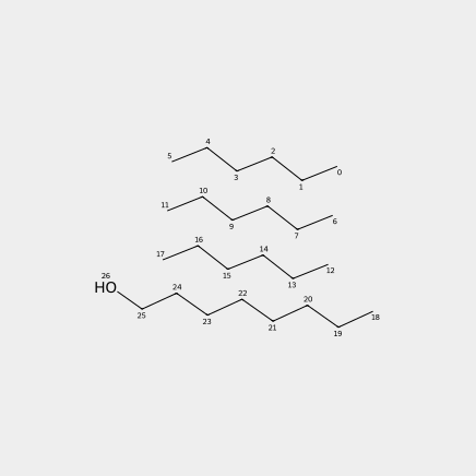 CCCCCC.CCCCCC.CCCCCC.CCCCCCCCO